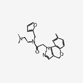 Cc1ccc2c(c1)-c1c(cnn1CC(=O)N(CCN(C)C)Cc1ccco1)CO2